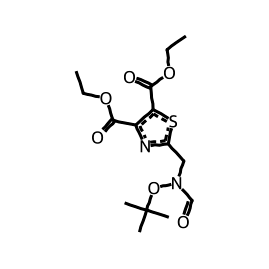 CCOC(=O)c1nc(CN(C=O)OC(C)(C)C)sc1C(=O)OCC